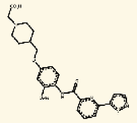 COc1cc(OCC2CCN(CC(=O)O)CC2)ccc1NC(=O)c1cccc(-c2ccn[nH]2)n1